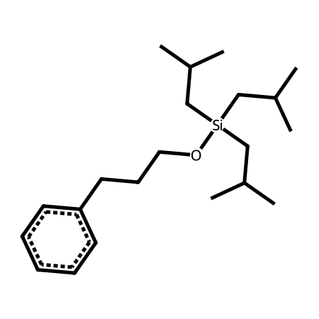 CC(C)C[Si](CC(C)C)(CC(C)C)OCCCc1ccccc1